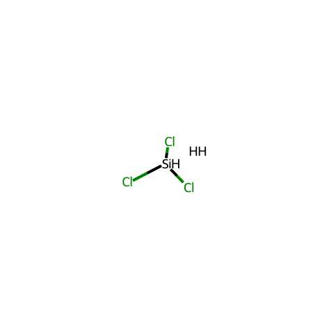 Cl[SiH](Cl)Cl.[HH]